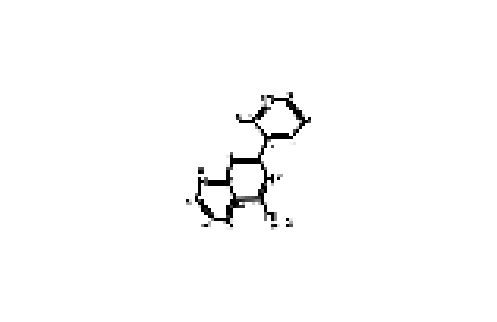 Cc1ncccc1-c1cc2ncccc2c(N)n1